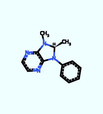 C[C@H]1N(C)c2nccnc2N1c1ccccc1